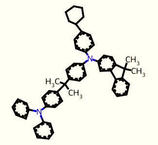 CC(C)(c1ccc(N(c2ccccc2)c2ccccc2)cc1)c1ccc(N(c2ccc(C3CCCCC3)cc2)c2ccc3c(c2)-c2ccccc2C3(C)C)cc1